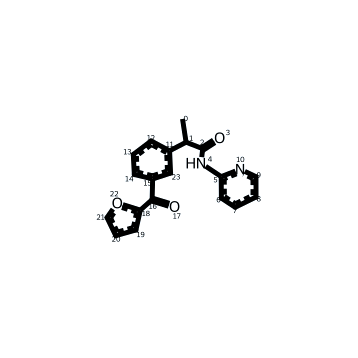 CC(C(=O)Nc1ccccn1)c1cccc(C(=O)c2ccco2)c1